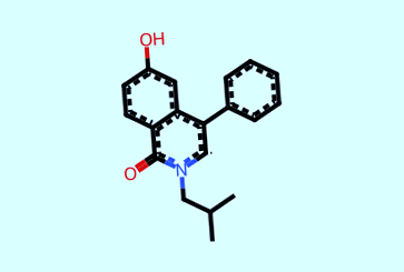 CC(C)Cn1[c]c(-c2ccccc2)c2cc(O)ccc2c1=O